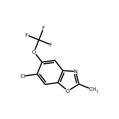 Cc1nc2cc(OC(F)(F)F)c(Cl)cc2o1